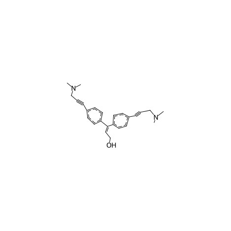 CN(C)CC#Cc1ccc(C(=CCO)c2ccc(C#CCN(C)C)cc2)cc1